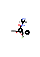 CNC(=O)c1cc(C(=O)N[C@H]2[C@@H]3CNC[C@@H]32)cc2c1O[C@@H](CF)[C@@H]2c1ccccc1